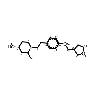 CC1CC(O)CCN1CCc1ccc(OCC2CCOC2)cc1